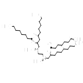 CCCCCCCCC(CN(C)CCN(C)CC(CCCCCCCC)OC(=O)CCCCCCC)OC(=O)CCCCCCC